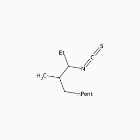 CCCCCCC(C)C(CC)N=C=S